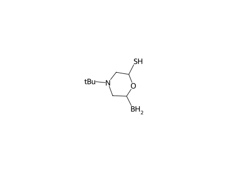 BC1CN(C(C)(C)C)CC(S)O1